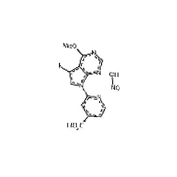 COc1ncnc2c1c(I)cn2-c1cc(C(=O)O)ccn1.O=NO